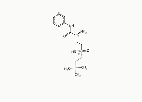 CC(C)(C)CC[S@@](=N)(=O)CC[C@H](N)C(=O)Nc1cccnc1